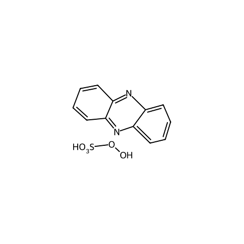 O=S(=O)(O)OO.c1ccc2nc3ccccc3nc2c1